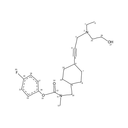 CCN(CC#CC1CCC(CN(C)C(=O)Oc2ccc(F)cc2)CC1)CCO